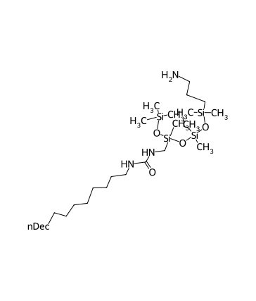 CCCCCCCCCCCCCCCCCCNC(=O)NC[Si](C)(O[Si](C)(C)C)O[Si](C)(C)O[Si](C)(C)CCCN